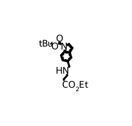 CCOC(=O)CCNCc1ccc2c(ccn2C(=O)OC(C)(C)C)c1